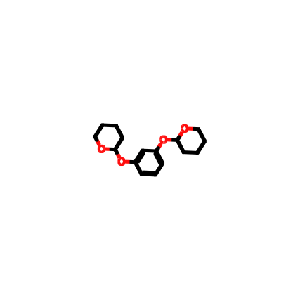 c1cc(OC2CCCCO2)cc(OC2CCCCO2)c1